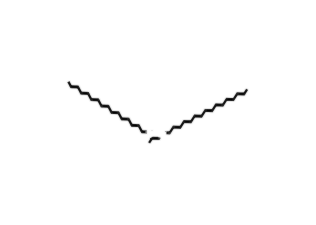 CCCCCCCCCCCCCCCCPCC(C)PCCCCCCCCCCCCCCCC